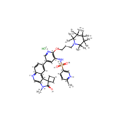 Cl.[2H]C1([2H])N(CCCOc2ncc(-c3ccc4ncc5c(c4c3)C3(CCC3)C(=O)N5C)cc2NS(=O)(=O)c2ccc(C)nc2)C([2H])([2H])C([2H])([2H])C([2H])([2H])C1([2H])[2H]